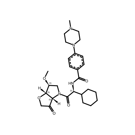 CO[C@H]1CN(C(=O)[C@@H](NC(=O)c2ccc(N3CCN(C)CC3)cc2)C2CCCCC2)[C@@H]2C(=O)CO[C@H]12